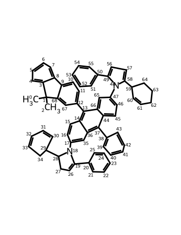 CC1(C)c2ccccc2-c2ccc(-c3c4ccc(N5C(c6ccccc6)=CCC5C5C=CC=CC5)cc4c(-c4ccccc4)c4ccc(-n5c(-c6ccccc6)ccc5C5C=CCCC5)cc34)cc21